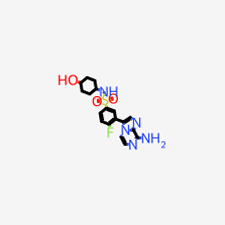 Nc1nccn2c(-c3cc(S(=O)(=O)NC4CCC(O)CC4)ccc3F)cnc12